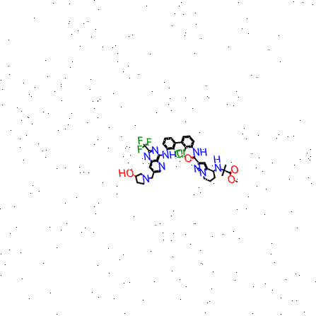 COC(=O)C(C)(C)N[C@H]1CCCn2nc(C(=O)Nc3cccc(-c4cccc(Nc5nc(C(F)(F)F)nc6cc(CN7CC[C@@H](O)C7)cnc56)c4Cl)c3Cl)cc21